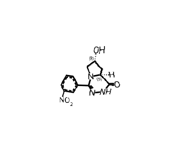 O=C1NN=C(c2cccc([N+](=O)[O-])c2)N2C[C@H](O)C[C@@H]12